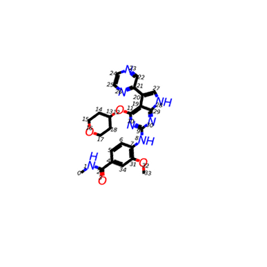 CNC(=O)c1ccc(Nc2nc(OC3CCOCC3)c3c(-c4cnccn4)c[nH]c3n2)c(OC)c1